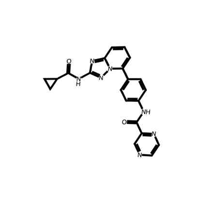 O=C(Nc1ccc(-c2cccc3nc(NC(=O)C4CC4)nn23)cc1)c1cnccn1